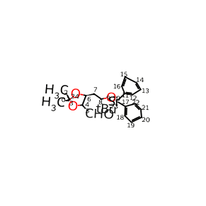 CC1(C)OC(C=O)[C@H](CCO[Si](c2ccccc2)(c2ccccc2)C(C)(C)C)O1